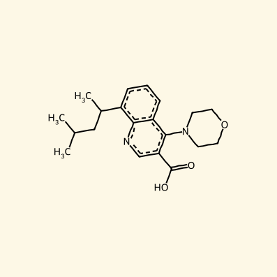 CC(C)CC(C)c1cccc2c(N3CCOCC3)c(C(=O)O)cnc12